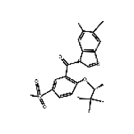 Cc1cc2ncn(C(=O)c3cc(S(C)(=O)=O)ccc3O[C@@H](C)C(F)(F)F)c2cc1C